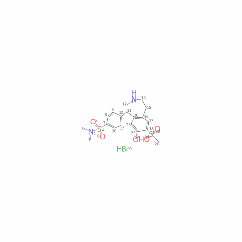 Br.CN(C)S(=O)(=O)c1ccc(C2CNCCc3cc(S(C)(=O)=O)c(O)cc32)cc1